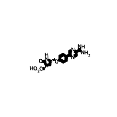 N=C(N)c1cnc(-c2ccc(OC[C@@H]3C[C@H](CC(=O)O)C(=O)N3)cc2)cn1